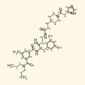 CCCN(CCC)C(=O)c1cc(C)cc(C(=O)NC(Cc2cc(F)cc(F)c2)C(O)CCNC(=O)CCC2CCN(C(=O)Cc3cnc[nH]3)CC2)c1